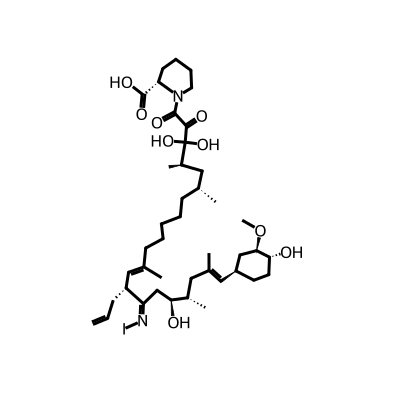 C=CC[C@H](/C=C(\C)CCCCC[C@@H](C)C[C@@H](C)C(O)(O)C(=O)C(=O)N1CCCC[C@H]1C(=O)O)/C(C[C@H](O)[C@@H](C)C/C(C)=C/[C@@H]1CC[C@@H](O)[C@H](OC)C1)=N\I